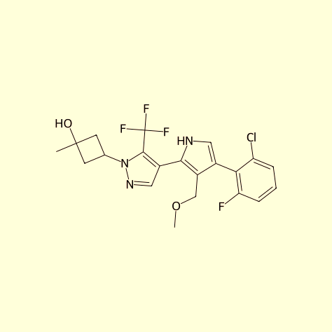 COCc1c(-c2c(F)cccc2Cl)c[nH]c1-c1cnn(C2CC(C)(O)C2)c1C(F)(F)F